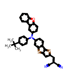 CC(C)(C)c1ccc(N(c2ccc3c(c2)sc2cc(C=C(C#N)C#N)sc23)c2ccc3oc4ccccc4c3c2)cc1